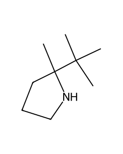 CC(C)(C)C1(C)CCCN1